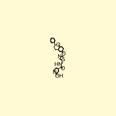 O=C(NCc1cnc(Oc2ccc3c(c2)CCC(c2ccccc2)O3)s1)c1ccnc(O)c1